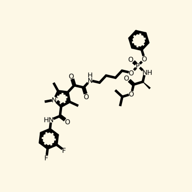 Cc1c(C(=O)C(=O)NCCCCOP(=O)(N[C@@H](C)C(=O)OC(C)C)Oc2ccccc2)c(C)n(C)c1C(=O)Nc1ccc(F)c(F)c1